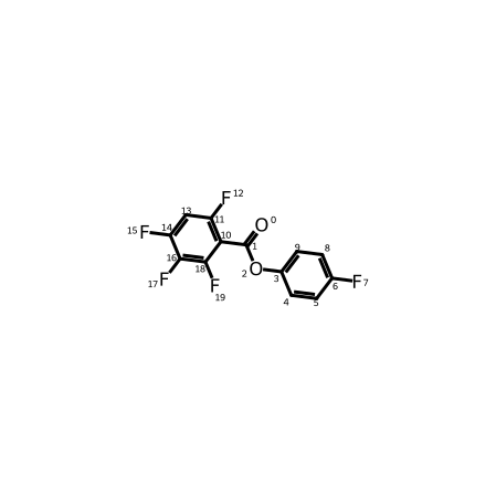 O=C(Oc1ccc(F)cc1)c1c(F)cc(F)c(F)c1F